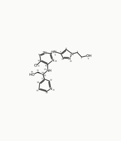 OCCn1cc(Nc2ncc(Cl)c(N[C@H](CO)c3cccnc3)n2)cn1